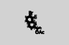 CC(=O)O[C@H](C)c1ccc2ccc(Br)c(F)c2n1